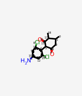 CC1CC(=O)C(c2c(Cl)cc(N)cc2Cl)C(=O)C1C